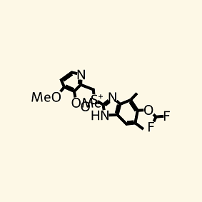 COc1ccnc(C[S+]([O-])c2nc3c(C)c(OC(F)F)c(C)cc3[nH]2)c1OC